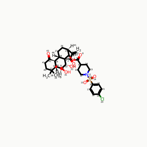 C=C1C(=O)[C@]23[C@H](OC(=O)C4CCN(S(=O)(=O)c5ccc(Cl)cc5)CC4)[C@H]1CC[C@H]2[C@@]12CO[C@@]3(O)[C@@H](O)[C@@H]1C(C)(C)CCC2=O